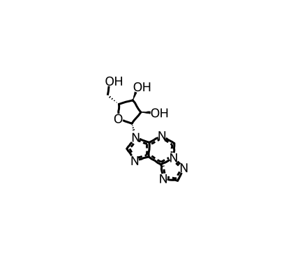 OC[C@H]1O[C@@H](n2cnc3c2ncn2ncnc32)[C@H](O)[C@@H]1O